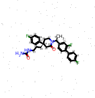 C[C@@H](c1ccc(-c2ccc(F)cc2)c(F)c1)N1CC[C@@](CCCNC(N)=O)(c2ccc(F)cc2)CC1=O